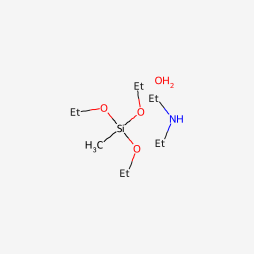 CCNCC.CCO[Si](C)(OCC)OCC.O